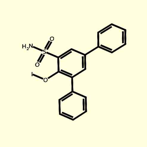 NS(=O)(=O)c1cc(-c2ccccc2)cc(-c2ccccc2)c1OI